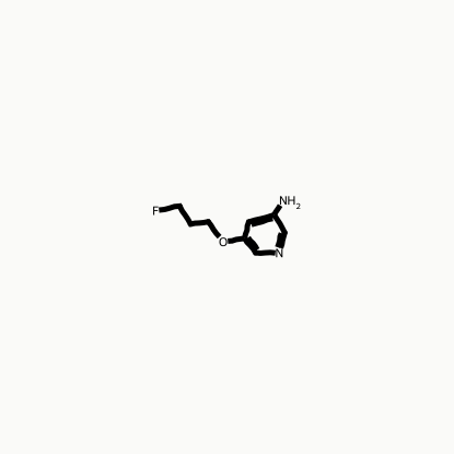 Nc1cncc(OCCCF)c1